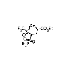 CCOC(=O)C(CC(S(=O)(=O)C(F)(F)F)S(=O)(=O)C(F)(F)F)C(C)=O